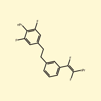 CCC/C(F)=C(\F)c1cccc(CCc2cc(F)c(CCC)c(F)c2)c1